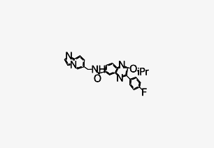 CC(C)Oc1nc2ccc(C(=O)NCc3ccc4nccn4c3)cc2nc1-c1ccc(F)cc1